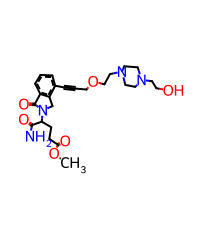 COC(=O)CCC(C(N)=O)N1Cc2c(C#CCOCCN3CCN(CCO)CC3)cccc2C1=O